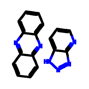 c1ccc2nc3ccccc3nc2c1.c1cnc2nn[nH]c2c1